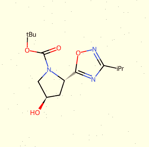 CC(C)c1noc([C@@H]2C[C@@H](O)CN2C(=O)OC(C)(C)C)n1